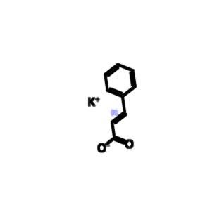 O=C([O-])/C=C/c1ccccc1.[K+]